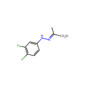 CCOC(=O)C(C)=NNc1ccc(F)c(F)c1